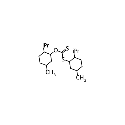 CC1CCC(C(C)C)C(OC(=S)SC2CC(C)CCC2C(C)C)C1